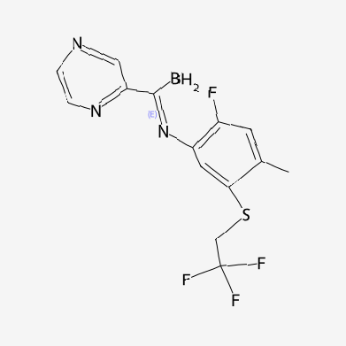 B/C(=N\c1cc(SCC(F)(F)F)c(C)cc1F)c1cnccn1